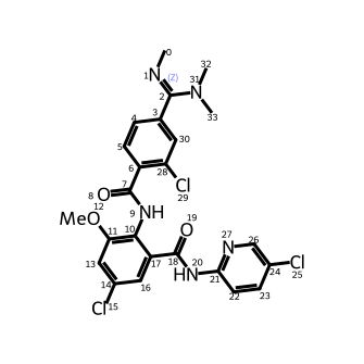 C/N=C(/c1ccc(C(=O)Nc2c(OC)cc(Cl)cc2C(=O)Nc2ccc(Cl)cn2)c(Cl)c1)N(C)C